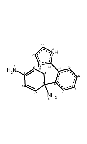 NC1=CCC(N)(c2ccccc2-c2ncc[nH]2)C=C1